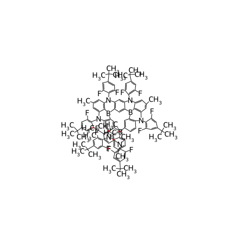 Cc1cc2c3c(c1)N(c1c(F)cc(C(C)(C)C)cc1F)c1cc4c(cc1B3c1cc(C(C)(C)C)ccc1N2c1c(F)cc(C(C)(C)C)cc1F)B1c2cc3c(cc2N(c2c(F)cc(C(C)(C)C)cc2F)c2cc(C)cc(c21)N4c1c(F)cc(C(C)(C)C)cc1F)N(c1c(F)cc(C(C)(C)C)cc1F)c1cc(C)cc2c1B3c1cc(C(C)(C)C)ccc1N2c1c(F)cc(C(C)(C)C)cc1F